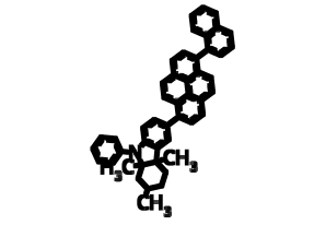 CC1CCC2(C)c3cc(-c4ccc5ccc6c(-c7cccc8ccccc78)ccc7ccc4c5c76)ccc3N(c3ccccc3)C2(C)C1